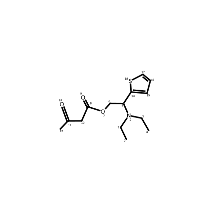 CCN(CC)C(COC(=O)CC(C)=O)c1cccs1